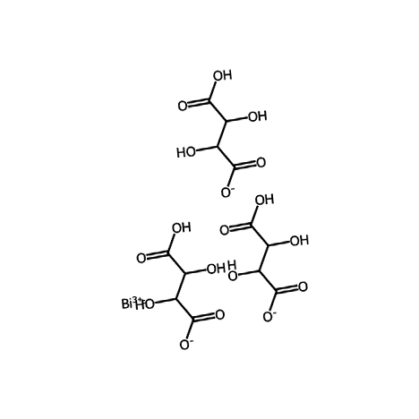 O=C([O-])C(O)C(O)C(=O)O.O=C([O-])C(O)C(O)C(=O)O.O=C([O-])C(O)C(O)C(=O)O.[Bi+3]